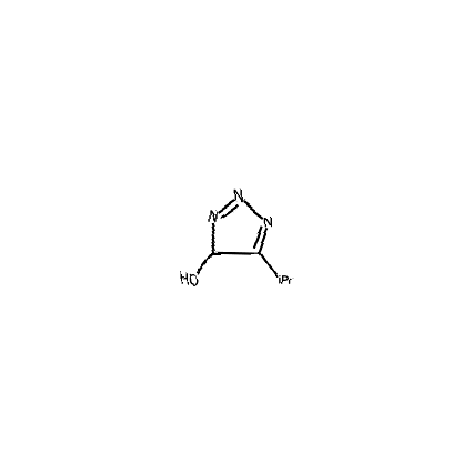 CC(C)C1=NN=NC1O